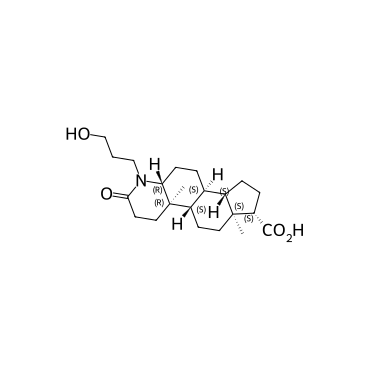 C[C@]12CC[C@H]3[C@@H](CC[C@H]4N(CCCO)C(=O)CC[C@]34C)[C@@H]1CC[C@@H]2C(=O)O